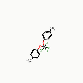 Cc1ccc([O][W]([Cl])([Cl])([Cl])([Cl])[O]c2ccc(C)cc2)cc1